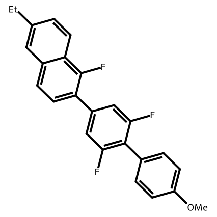 CCc1ccc2c(F)c(-c3cc(F)c(-c4ccc(OC)cc4)c(F)c3)ccc2c1